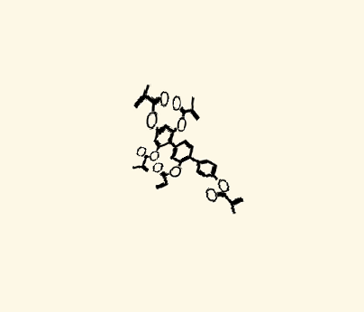 C=CC(=O)Oc1cc(-c2c(OC(=O)C(=C)C)cc(OC(=O)C(=C)C)cc2OC(=O)C(=C)C)ccc1-c1ccc(OC(=O)C(=C)C)cc1